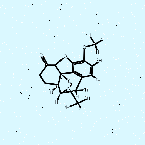 [2H]c1c([2H])c2c3c(c1OC([2H])([2H])[2H])OC1C(=O)CC[C@H]4[C@H](N(C([2H])([2H])[2H])CC[C@]314)C2([2H])[2H]